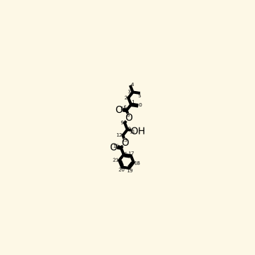 C=C(CC(C)C)C(=O)OCC(O)COC(=O)c1ccccc1